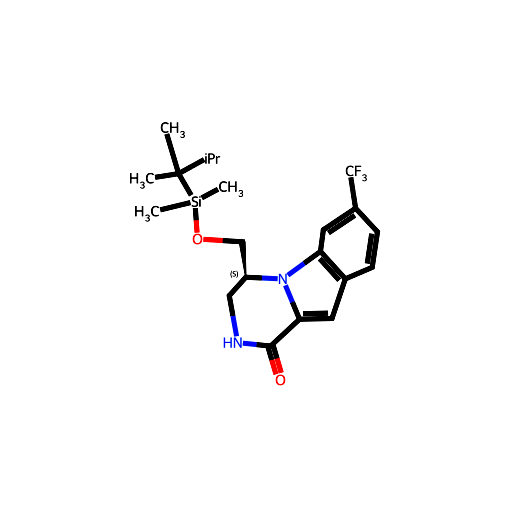 CC(C)C(C)(C)[Si](C)(C)OC[C@@H]1CNC(=O)c2cc3ccc(C(F)(F)F)cc3n21